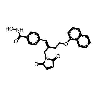 O=C(NO)c1ccc(C=C(CCOc2cccc3ccccc23)CN2C(=O)C=CC2=O)cc1